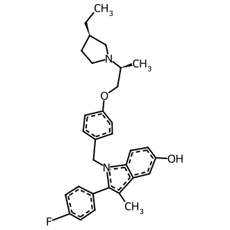 CC[C@@H]1CCN([C@@H](C)COc2ccc(Cn3c(-c4ccc(F)cc4)c(C)c4cc(O)ccc43)cc2)C1